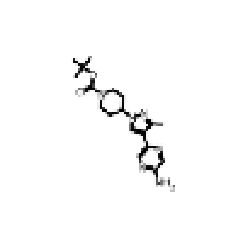 Cc1nn(C2CCN(C(=O)OC(C)(C)C)CC2)cc1-c1cnc(N)cn1